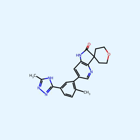 Cc1nnc(-c2ccc(C)c(-c3cnc4c(c3)NC(=O)C43CCOCC3)c2)[nH]1